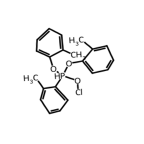 Cc1ccccc1O[PH](OCl)(Oc1ccccc1C)c1ccccc1C